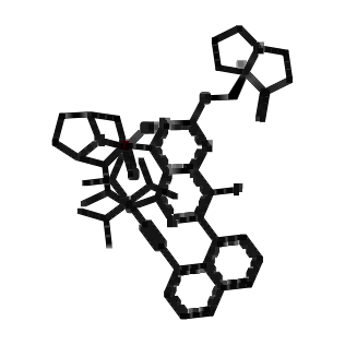 C=C1CCN2CCC[C@@]12COc1nc2c3c(nc(-c4cccc5cccc(C#C[Si](C(C)C)(C(C)C)C(C)C)c45)c(F)c3n1)OC(C)C1C3CCC(CN21)N3C(=O)O